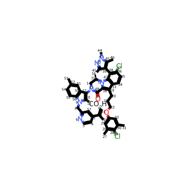 C=C(C)c1ccnc(Cn2c(C(=O)O)c(N3C[C@@H](C)n4c(c(CCCOc5cc(C)c(Cl)c(C)c5)c5ccc(Cl)c(-c6c(C)nn(C)c6C)c54)C3=O)c3cc(C)ccc32)c1